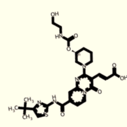 CC(C)(C)c1csc(NC(=O)c2ccn3c(=O)c(C=CC(=O)O)c(N4CCC[C@@H](OC(=O)NCCO)C4)nc3c2)n1